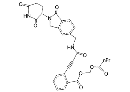 CCCC(=O)OCOC(=O)c1ccccc1C#CC(=O)NCc1ccc2c(c1)CN(C1CCC(=O)NC1=O)C2=O